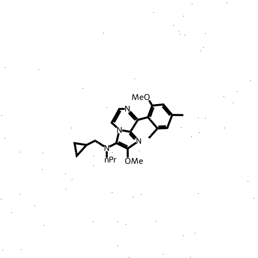 CCCN(CC1CC1)c1c(OC)nc2c(-c3c(C)cc(C)cc3OC)nccn12